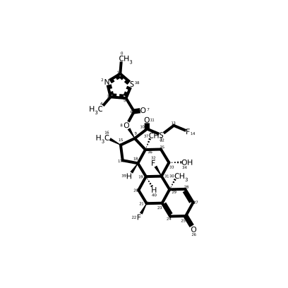 Cc1nc(C)c(C(=O)O[C@]2(C(=O)SCF)[C@H](C)C[C@H]3[C@@H]4C[C@H](F)C5=CC(=O)C=C[C@]5(C)[C@@]4(F)[C@@H](O)C[C@@]32C)s1